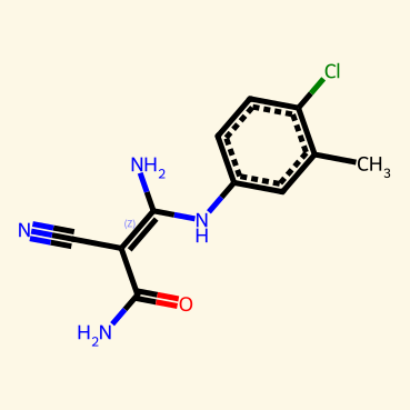 Cc1cc(N/C(N)=C(/C#N)C(N)=O)ccc1Cl